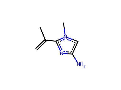 C=C(C)c1nc(N)cn1C